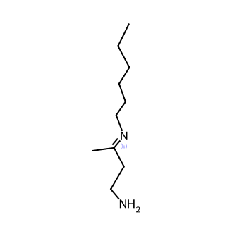 CCCCCC/N=C(\C)CCN